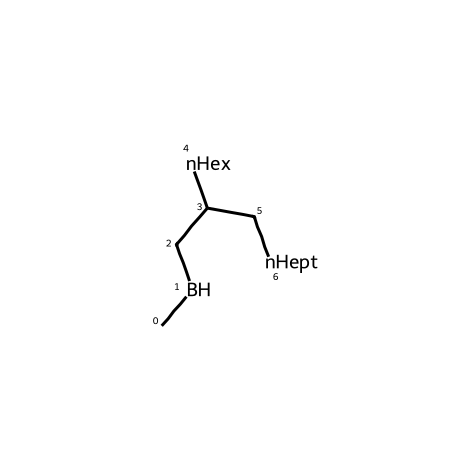 CBCC(CCCCCC)CCCCCCCC